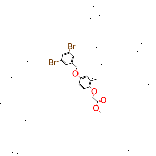 COC(=O)COc1ccc(OCc2cc(Br)cc(Br)c2)cc1C